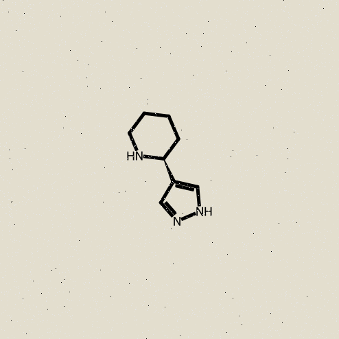 c1n[nH]cc1[C@@H]1CCCCN1